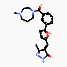 CC1=NNC(=O)C1=Cc1ccc(-c2cccc(C(=O)N3CCCN(C)CC3)c2)o1